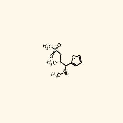 CN[C@H](c1ccco1)[C@H](C)CS(C)(=O)=O